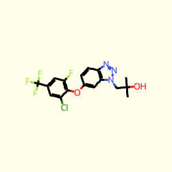 CC(C)(O)Cn1nnc2ccc(Oc3c(F)cc(C(F)(F)F)cc3Cl)cc21